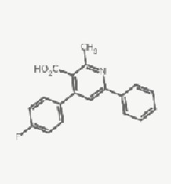 Cc1nc(-c2ccccc2)cc(-c2ccc(F)cc2)c1C(=O)O